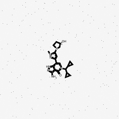 Cn1nc(-c2cn(C(C3CC3)C3CC3)c(=O)c3c(N)n[nH]c23)cc1N1CC[C@H](O)C1